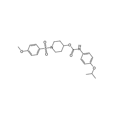 COc1ccc(S(=O)(=O)N2CCC(OC(=O)Nc3ccc(OC(C)C)cc3)CC2)cc1